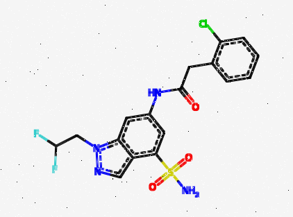 NS(=O)(=O)c1cc(NC(=O)Cc2ccccc2Cl)cc2c1cnn2CC(F)F